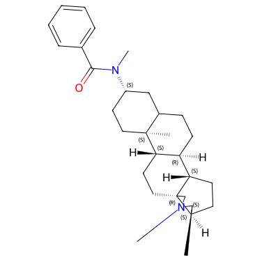 C[C@H]1[C@H]2CC[C@H]3[C@@H]4CCC5C[C@@H](N(C)C(=O)c6ccccc6)CC[C@]5(C)[C@H]4CC[C@]23CN1C